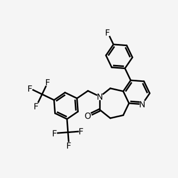 O=C1CCc2nccc(-c3ccc(F)cc3)c2CN1Cc1cc(C(F)(F)F)cc(C(F)(F)F)c1